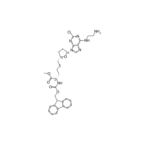 COC(=O)[C@H](CCSC[C@@H]1[CH][CH][C@H](n2cnc3c(NCCN)nc(Cl)nc32)O1)NC(=O)OCC1c2ccccc2-c2ccccc21